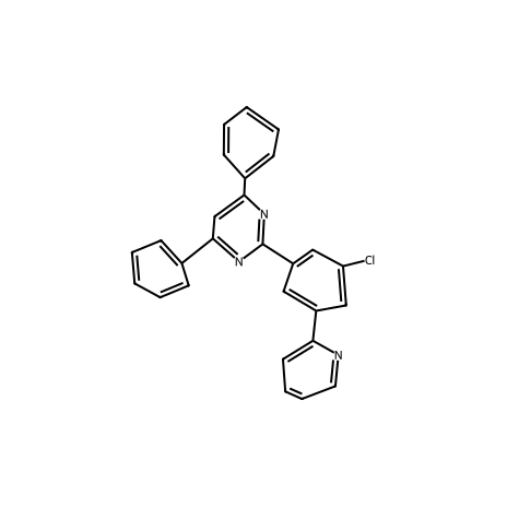 Clc1cc(-c2ccccn2)cc(-c2nc(-c3ccccc3)cc(-c3ccccc3)n2)c1